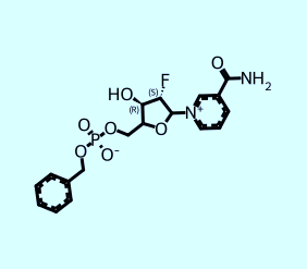 NC(=O)c1ccc[n+](C2OC(COP(=O)([O-])OCc3ccccc3)[C@@H](O)[C@@H]2F)c1